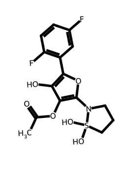 CC(=O)Oc1c(N2CCCS2(O)O)oc(-c2cc(F)ccc2F)c1O